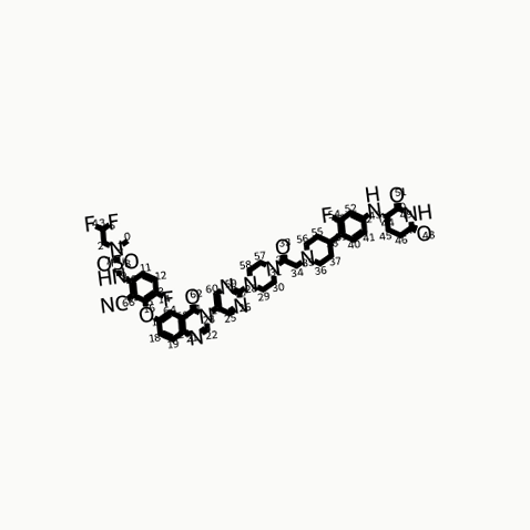 CN(CC(F)F)S(=O)(=O)Nc1ccc(F)c(Oc2ccc3ncn(-c4cnc(N5CCN(C(=O)CN6CCC(c7ccc(N[C@H]8CCC(=O)NC8=O)cc7F)CC6)CC5)nc4)c(=O)c3c2)c1C#N